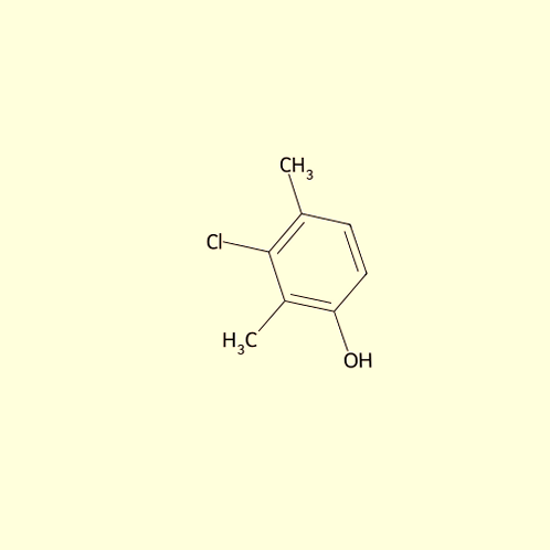 Cc1ccc(O)c(C)c1Cl